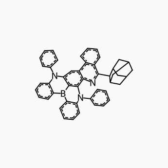 c1ccc(N2c3ccccc3B3c4ccccc4N(c4ccccc4)c4c3c2cc2c4nc(C3C4CC5CC(C4)CC3C5)c3ccccc32)cc1